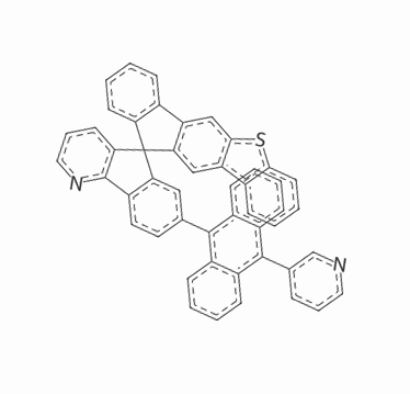 c1cncc(-c2c3ccccc3c(-c3ccc4c(c3)C3(c5ccccc5-c5cc6sc7ccccc7c6cc53)c3cccnc3-4)c3ccccc23)c1